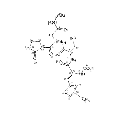 CCCCNC(=O)C[C@H](NC(=O)[C@H](CC(C)C)NC(=O)[C@H](Cc1nc(C(F)(F)F)cs1)NC(=O)O)C(=O)[C@@H]1CCNC1=O